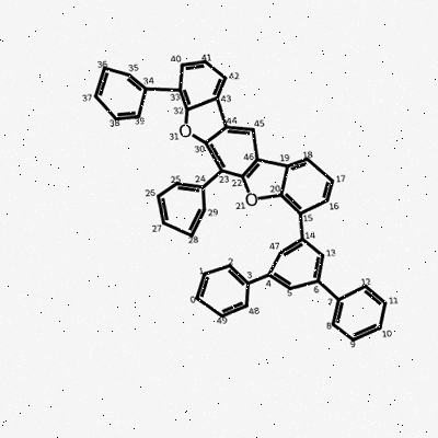 c1ccc(-c2cc(-c3ccccc3)cc(-c3cccc4c3oc3c(-c5ccccc5)c5oc6c(-c7ccccc7)cccc6c5cc34)c2)cc1